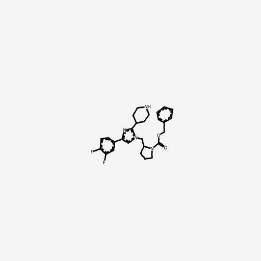 O=C(OCc1ccccc1)N1CCCC1Cn1cc(-c2ccc(F)c(F)c2)nc1C1CCNCC1